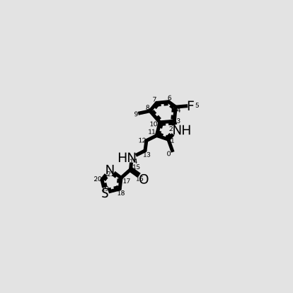 Cc1[nH]c2c(F)ccc(C)c2c1CCNC(=O)c1cscn1